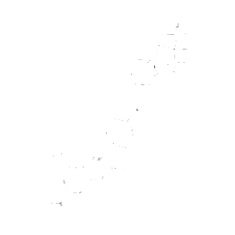 CCn1cc(C(=O)O)c(=O)c2cc(F)c(N3CCN(C(=O)Sc4ccc(CC(O)(P(=O)(O)O)P(=O)(O)O)cc4)CC3)cc21